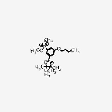 CCCCOc1cc(B2OC(C)(C)C(C)(C)O2)cc(P(=O)(OC)OC)c1